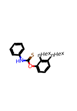 CCCCCCc1cccc(OC(=S)Nc2ccccc2)c1CCCCCC